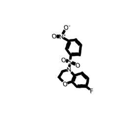 O=[N+]([O-])c1cccc(S(=O)(=O)N2CCOc3cc(F)ccc32)c1